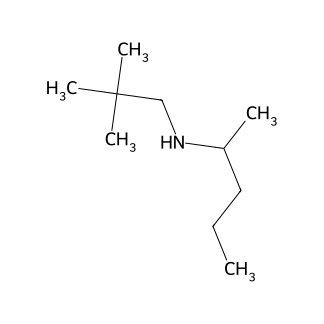 CCCC(C)NCC(C)(C)C